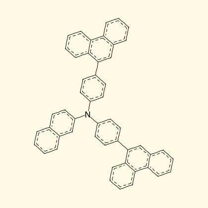 c1ccc2cc(N(c3ccc(-c4cc5ccccc5c5ccccc45)cc3)c3ccc(-c4cc5ccccc5c5ccccc45)cc3)ccc2c1